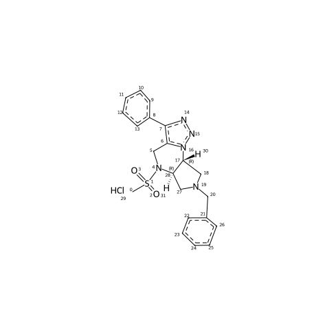 CS(=O)(=O)N1Cc2c(-c3ccccc3)nnn2[C@@H]2CN(Cc3ccccc3)C[C@H]21.Cl